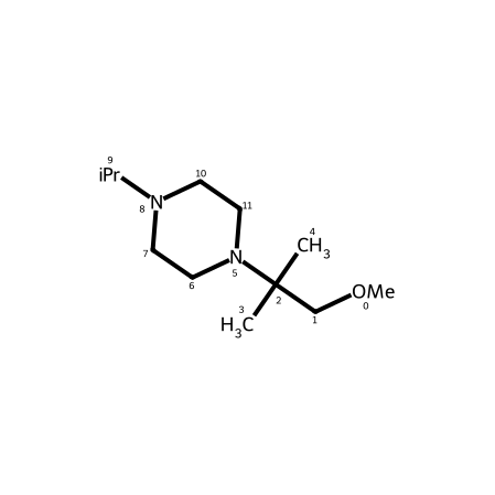 COCC(C)(C)N1CCN(C(C)C)CC1